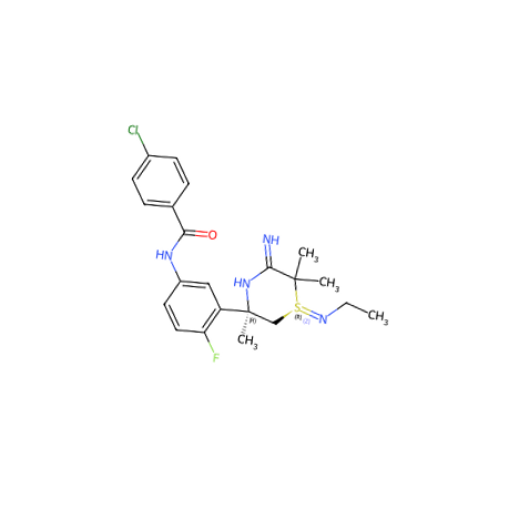 CC/N=[S@]1/C[C@@](C)(c2cc(NC(=O)c3ccc(Cl)cc3)ccc2F)NC(=N)C1(C)C